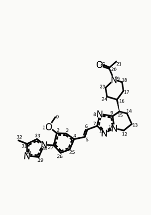 COc1cc(/C=C/c2nc3n(n2)CCC[C@@H]3C2CCN(C(C)=O)CC2)ccc1-n1cnc(C)c1